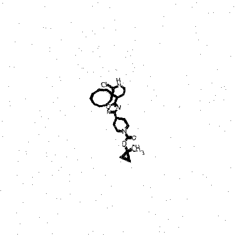 CC1(OC(=O)N2CCC(c3noc(C4CCNC(Cl)C45CCCCCCCC5)n3)CC2)CC1